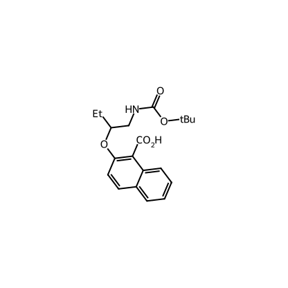 CCC(CNC(=O)OC(C)(C)C)Oc1ccc2ccccc2c1C(=O)O